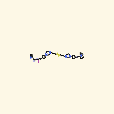 CC/N=C/C=C\C=C(I)\C=C\c1ccc(N2CCCN(CCCCSSCCCCN3CCCN(c4ccc(/C=C/c5cccc[n+]5CC)cc4)CC3)CC2)cc1